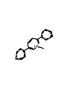 C=C(/C=C\C(=C/NC)c1ccccc1)c1ccccc1